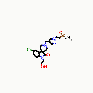 C[S+]([O-])CCn1cc(CN2CCC3(CC2)C(=O)N(CCO)c2ccc(Cl)cc23)cn1